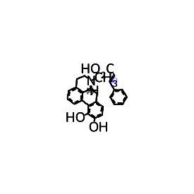 CN1CCc2cccc3c2[C@H]1Cc1ccc(O)c(O)c1-3.O=C(O)/C=C/c1ccccc1